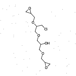 OC(COCC(CCl)OCC1CO1)COCC1CO1